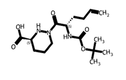 C=CCC[C@H](NC(=O)OC(C)(C)C)C(=O)N1CCC[C@@H](C(=O)O)N1